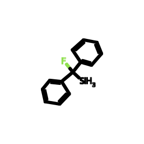 FC([SiH3])(c1ccccc1)c1ccccc1